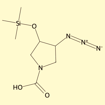 C[Si](C)(C)OC1CN(C(=O)O)CC1N=[N+]=[N-]